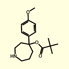 COc1ccc(C2(OC(=O)C(C)(C)C)CCCNCC2)cc1